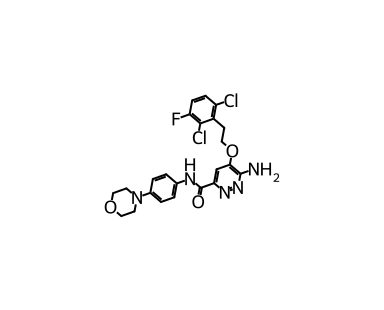 Nc1nnc(C(=O)Nc2ccc(N3CCOCC3)cc2)cc1OCCc1c(Cl)ccc(F)c1Cl